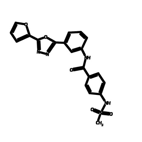 CS(=O)(=O)Nc1ccc(C(=O)Nc2cccc(-c3nnc(-c4ccco4)o3)c2)cc1